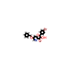 O=c1c(O)c(-c2ccc(Br)cc2)oc2cc(OCc3ccccc3)cnc12